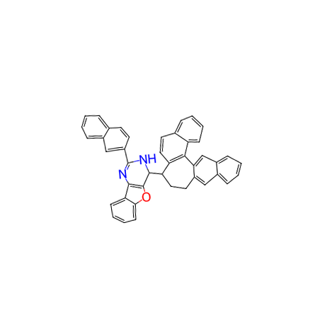 c1ccc2cc(C3=Nc4c(oc5ccccc45)C(C4CCc5cc6ccccc6cc5-c5c4ccc4ccccc54)N3)ccc2c1